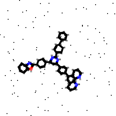 C1=CC(c2nc3ccccc3o2)CC=C1c1cc(-c2ccc(-c3cc4cccnc4c4ncccc34)cc2)nc(C2=CCC(c3ccccc3)C=C2)n1